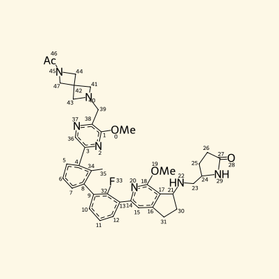 COc1nc(-c2cccc(-c3cccc(-c4cc5c(c(OC)n4)C(NCC4CCC(=O)N4)CC5)c3F)c2C)cnc1CN1CC2(C1)CN(C(C)=O)C2